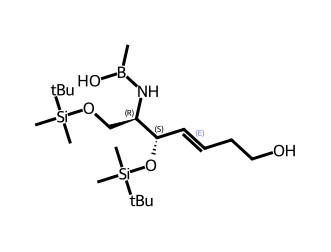 CB(O)N[C@H](CO[Si](C)(C)C(C)(C)C)[C@H](/C=C/CCO)O[Si](C)(C)C(C)(C)C